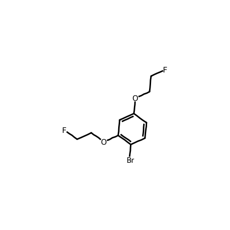 FCCOc1ccc(Br)c(OCCF)c1